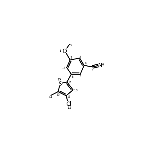 COc1cc(C#N)cc(-c2cc(Cl)c(C)s2)c1